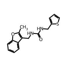 Cc1oc2ccccc2c1CNC(=O)NCc1cccs1